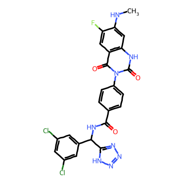 CNc1cc2[nH]c(=O)n(-c3ccc(C(=O)NC(c4cc(Cl)cc(Cl)c4)c4nnn[nH]4)cc3)c(=O)c2cc1F